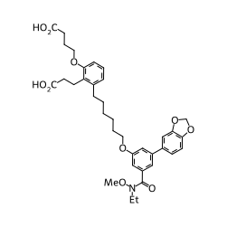 CCN(OC)C(=O)c1cc(OCCCCCCc2cccc(OCCCC(=O)O)c2CCC(=O)O)cc(-c2ccc3c(c2)OCO3)c1